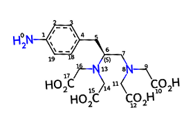 Nc1ccc(C[C@@H](CN(CC(=O)O)CC(=O)O)N(CC(=O)O)CC(=O)O)cc1